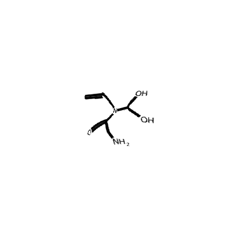 C=CN(C(N)=O)C(O)O